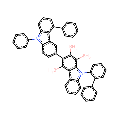 Bc1c(-c2ccc3c(c2)c2c(-c4ccccc4)cccc2n3-c2ccccc2)c(B)c2c3ccccc3n(-c3ccccc3-c3ccccc3)c2c1B